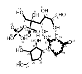 O=C[C@H](O)[C@@H](O)[C@H](O)[C@](O)(CO)P(=O)(O)OP(=O)(O)O.O=c1ccn([C@@H]2O[C@H](CO)[C@@H](O)[C@H]2O)c(=O)[nH]1